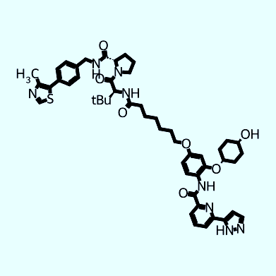 Cc1ncsc1-c1ccc(CNC(=O)[C@@H]2CCCN2C(=O)[C@@H](NC(=O)CCCCCCOc2ccc(NC(=O)c3cccc(-c4ccn[nH]4)n3)c(O[C@H]3CC[C@H](O)CC3)c2)C(C)(C)C)cc1